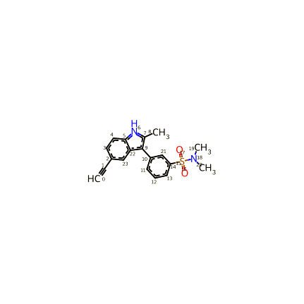 C#Cc1ccc2[nH]c(C)c(-c3cccc(S(=O)(=O)N(C)C)c3)c2c1